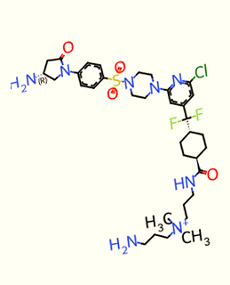 C[N+](C)(CCCN)CCCNC(=O)[C@H]1CC[C@H](C(F)(F)c2cc(Cl)nc(N3CCN(S(=O)(=O)c4ccc(N5C[C@H](N)CC5=O)cc4)CC3)c2)CC1